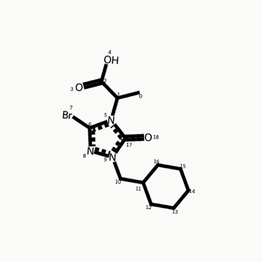 CC(C(=O)O)n1c(Br)nn(CC2CCCCC2)c1=O